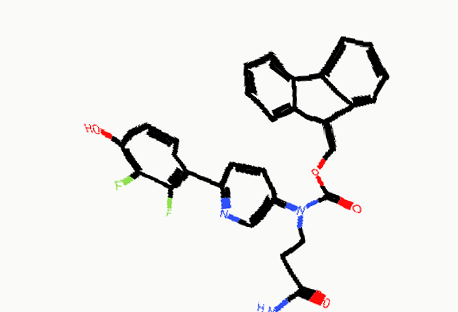 NC(=O)CCN(C(=O)OCC1c2ccccc2-c2ccccc21)c1ccc(-c2ccc(O)c(F)c2F)nc1